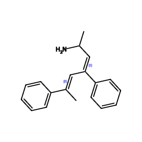 C/C(=C\C(=C/C(C)N)c1ccccc1)c1ccccc1